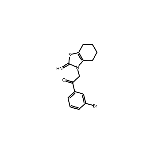 N=c1sc2c(n1CC(=O)c1cccc(Br)c1)CCCC2